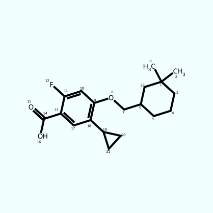 CC1(C)CCCC(COc2cc(F)c(C(=O)O)cc2C2CC2)C1